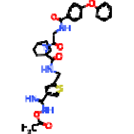 CC(=O)ONC(=N)c1csc(CNC(=O)C23CCC(CC2)N3C(=O)CNC(=O)c2ccc(Oc3ccccc3)cc2)c1